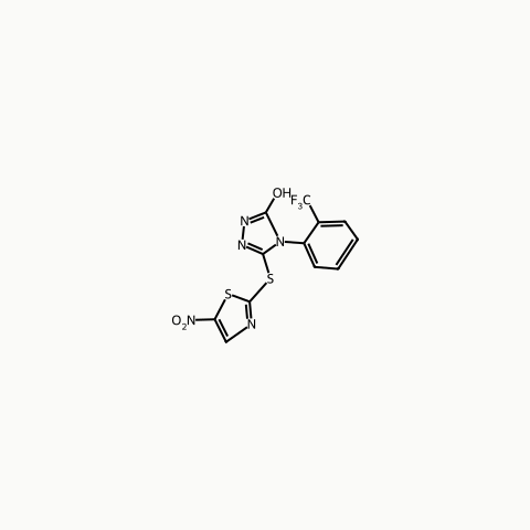 O=[N+]([O-])c1cnc(Sc2nnc(O)n2-c2ccccc2C(F)(F)F)s1